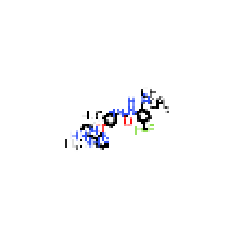 CNC1(c2cccnc2Oc2ccc(NC(=O)Nc3cc(C(F)(F)F)ccc3CN(C)C)cc2C)N=CC=CN1